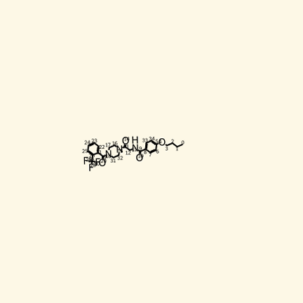 CCCCOc1ccc(C(=O)NCC(=O)N2CCN(C(=O)c3ccccc3C(F)(F)F)CC2)cc1